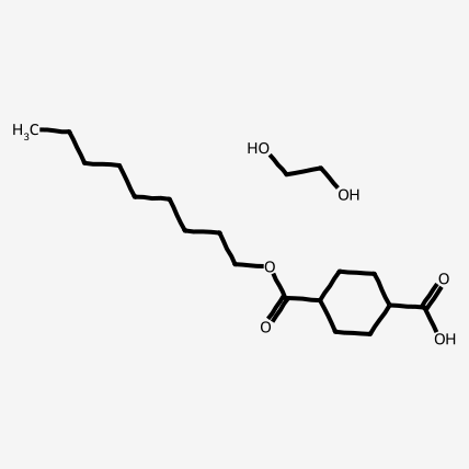 CCCCCCCCCOC(=O)C1CCC(C(=O)O)CC1.OCCO